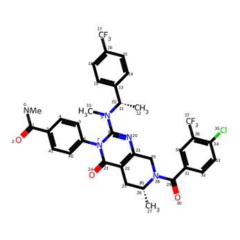 CNC(=O)c1ccc(-n2c(N(C)[C@@H](C)c3ccc(C(F)(F)F)cc3)nc3c(c2=O)C[C@@H](C)N(C(=O)c2ccc(Cl)c(C(F)(F)F)c2)C3)cc1